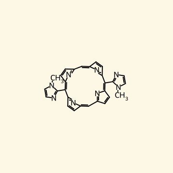 Cn1ccnc1C1=C2C=CC(=N2)C=C2C=CC(=N2)C(c2nccn2C)=C2C=CC(=N2)C=C2C=CC1=N2